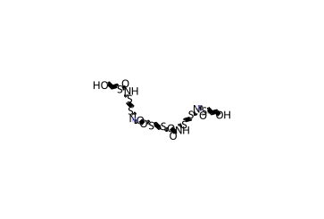 O=C(NCSCCSC/N=C\[S+]([O-])CCCO)OCSCCSCOO/C=N\CSCCSCNC(=O)SCCCO